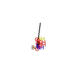 CCCCCCCCCCCCCCCCC(S)C(=O)OC[C@@H]1O[C@H](n2cc(Br)c(=O)[nH]c2=O)C(O)C1O